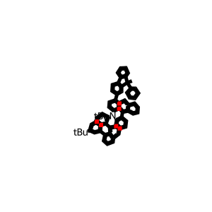 CC(C)(C)c1cc(-c2cccc3cccc(-c4ccccc4N(c4ccc(-c5ccc6c(c5)C(C)(c5ccccc5)c5ccccc5-6)cc4)c4ccccc4-c4cccc5ccccc45)c23)cc(C(C)(C)C)c1